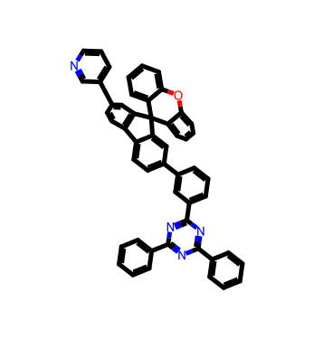 c1ccc(-c2nc(-c3ccccc3)nc(-c3cccc(-c4ccc5c(c4)C4(c6ccccc6Oc6ccccc64)c4cc(-c6cccnc6)ccc4-5)c3)n2)cc1